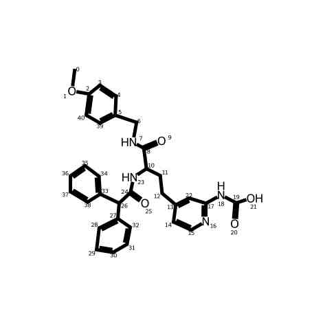 COc1ccc(CNC(=O)C(CCc2ccnc(NC(=O)O)c2)NC(=O)C(c2ccccc2)c2ccccc2)cc1